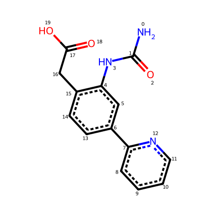 NC(=O)Nc1cc(-c2ccccn2)ccc1CC(=O)O